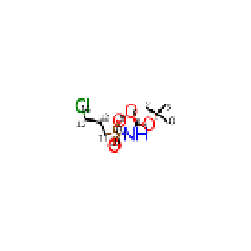 CC(C)(C)OC(=O)NS(=O)(=O)CCCCl